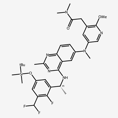 COc1ncc(N(C)c2ccc3nc(C)nc(N[C@H](C)c4cc(O[Si](C)(C)C(C)(C)C)cc(C(F)F)c4F)c3c2)cc1CC(=O)N(C)C